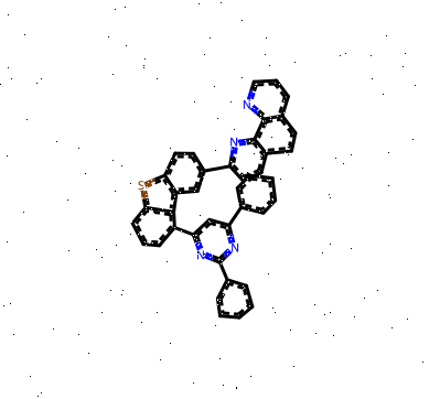 c1ccc(-c2cc(-c3cccc4sc5ccc(-c6ccc7ccc8cccnc8c7n6)cc5c34)nc(-c3ccccc3)n2)cc1